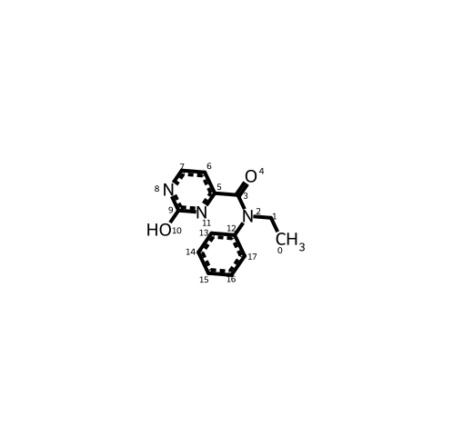 CCN(C(=O)c1ccnc(O)n1)c1ccccc1